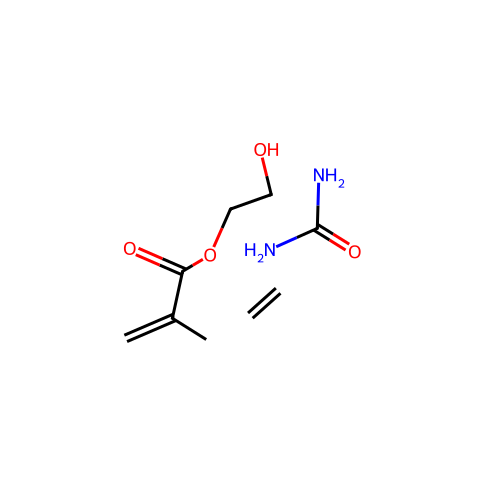 C=C.C=C(C)C(=O)OCCO.NC(N)=O